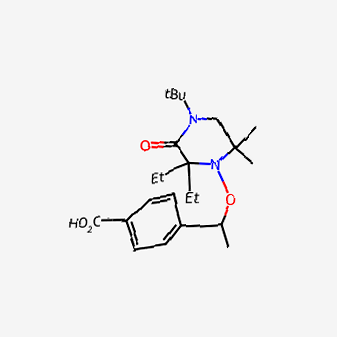 CCC1(CC)C(=O)N(C(C)(C)C)CC(C)(C)N1OC(C)c1ccc(C(=O)O)cc1